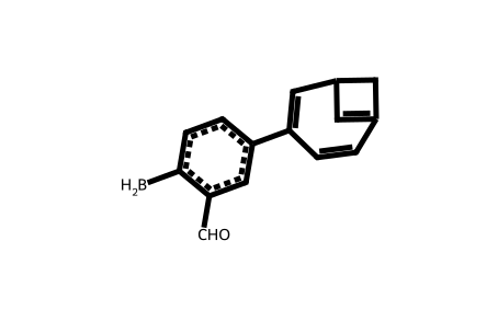 Bc1ccc(C2=CC3C=C(C=C2)C3)cc1C=O